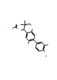 COc1cc2c(cc1-c1ccc(OC(C)C)c(Cl)c1)OCC(C)(C)C2OC(N)=O